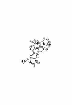 [2H]C([2H])([2H])n1ncc(-c2ccc3c(=O)[nH]nc(CN)c3c2)c1-c1c(F)cc2c(c1C#N)N1CCOC[C@H]1CO2